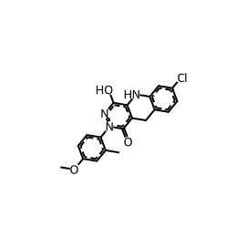 COc1ccc(-n2nc(O)c3c(c2=O)Cc2ccc(Cl)cc2N3)c(C)c1